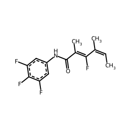 C/C=C(C)\C(F)=C(/C)C(=O)Nc1cc(F)c(F)c(F)c1